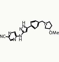 CO[C@H]1CCN(Cc2ccc(-c3cc(Nc4cnc(C#N)cn4)n[nH]3)cc2)C1